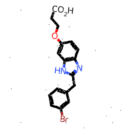 O=C(O)CCOc1ccc2nc(Cc3cccc(Br)c3)[nH]c2c1